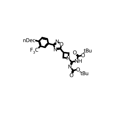 CCCCCCCCCCc1ccc(-c2noc(C3CN(C(=NC(=O)OC(C)(C)C)NC(=O)OC(C)(C)C)C3)n2)cc1C(F)(F)F